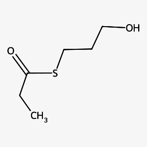 CCC(=O)SCCCO